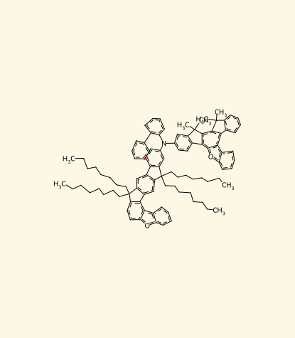 CCCCCCCCC1(CCCCCCCC)c2cc(N(c3ccc4c(c3)C(C)(C)c3c5c(c6c(oc7ccccc76)c3-4)-c3ccccc3C5(C)C)c3ccccc3-c3ccccc3)ccc2-c2cc3c(cc21)-c1c(ccc2oc4ccccc4c12)C3(CCCCCCCC)CCCCCCCC